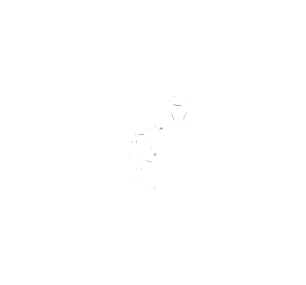 CCOC(=O)[C@H](CC(C)C)NC(=O)[C@@]1(F)[C@@H]2C[C@@H](OCc3ccc(Cl)c(Cl)c3)[C@@](N)(C(=O)OCC)[C@@H]21